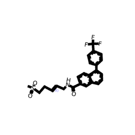 CS(=O)(=O)CC/C=C/CNC(=O)c1ccc2c(-c3ccc(C(F)(F)F)cc3)cccc2c1